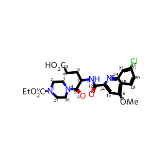 CCOC(=O)N1CCN(C(=O)C(CCC(=O)O)NC(=O)c2cc(OC)c3ccc(Cl)cc3n2)CC1